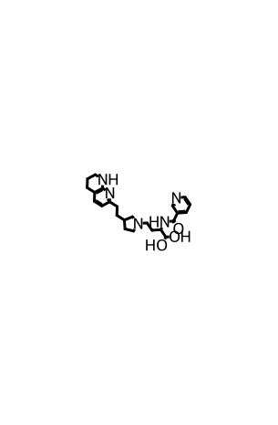 O=C(NC(CCN1CCC(CCc2ccc3c(n2)NCCC3)C1)C(O)O)c1cccnc1